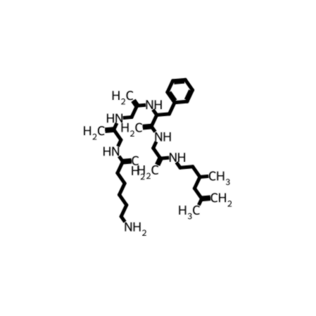 C=C(C)CC(C)CCNC(=C)CNC(=C)C(Cc1ccccc1)NC(=C)CNC(=C)CNC(=C)CCCCCN